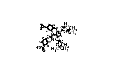 CC(C)(C)OC(=O)O[C@H]1CN(C(=O)OC(C)(C)C)[C@H](Cc2ccc(C3CC3)cc2)[C@@H]1OC(=O)Oc1ccc([N+](=O)[O-])cc1